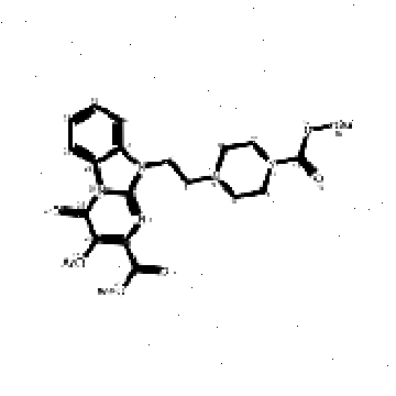 COC(=O)c1nc2n(CCN3CCN(C(=O)OC(C)(C)C)CC3)c3ccccc3n2c(=O)c1OC(C)=O